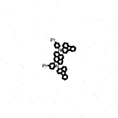 CC(C)c1ccc(N(c2ccc3c4c(cccc24)C2=C3C=CCC2)c2ccc3ccc4c(N(c5ccc(C(C)C)cc5)c5ccc6c7c(cccc57)-c5ccccc5-6)ccc5ccc2c3c54)cc1